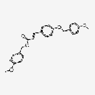 COc1ccc(COC(=O)C=Cc2ccc(OCc3ccc(OC)cc3)cc2)cc1